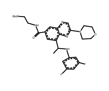 CNCCNC(=O)c1cc(C(C)Nc2cc(F)cc(F)c2)c2nc(N3CCOCC3)cnc2c1